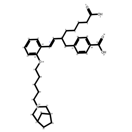 O=C(O)CCCCC(/C=C/c1ccccc1OCCCCCN1CC2CCC(C2)C1)Cc1ccc(C(=O)O)cc1